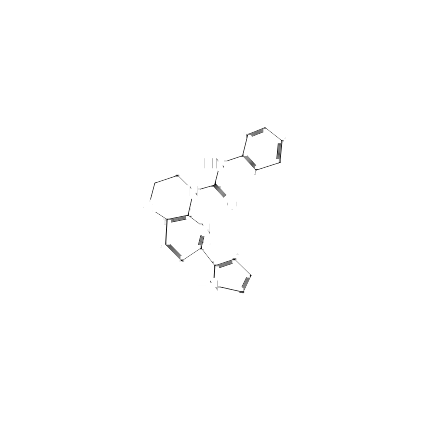 O=C(Nc1ccccc1)N1CCOc2ccc(-c3ccc[nH]3)nc21